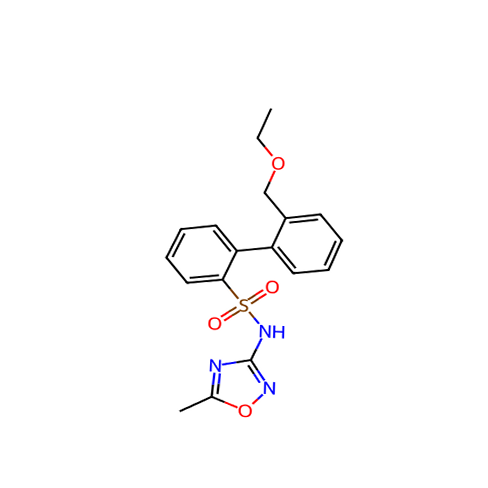 CCOCc1ccccc1-c1ccccc1S(=O)(=O)Nc1noc(C)n1